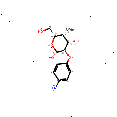 CO[C@@H]1[C@H](O)[C@@H](Oc2ccc(N)cc2)[C@H](O)O[C@@H]1CO